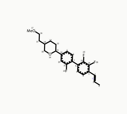 C/C=C/c1ccc(-c2ccc(C3CCC(CCOC)CO3)cc2F)c(F)c1F